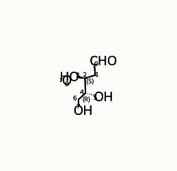 O=CC[C@H](O)[C@H](O)CO.[O]